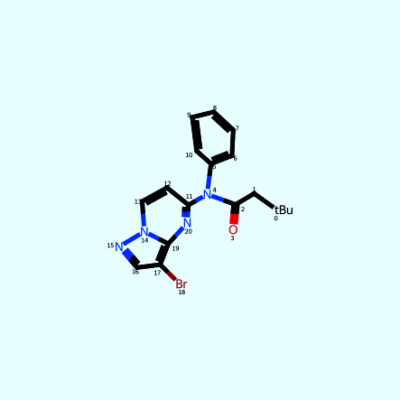 CC(C)(C)CC(=O)N(c1ccccc1)c1ccn2ncc(Br)c2n1